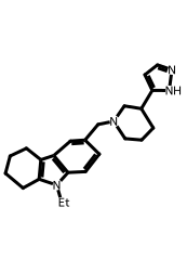 CCn1c2c(c3cc(CN4CCCC(c5ccn[nH]5)C4)ccc31)CCCC2